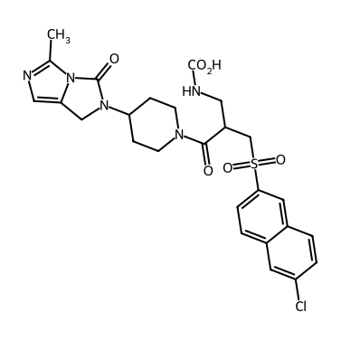 Cc1ncc2n1C(=O)N(C1CCN(C(=O)C(CNC(=O)O)CS(=O)(=O)c3ccc4cc(Cl)ccc4c3)CC1)C2